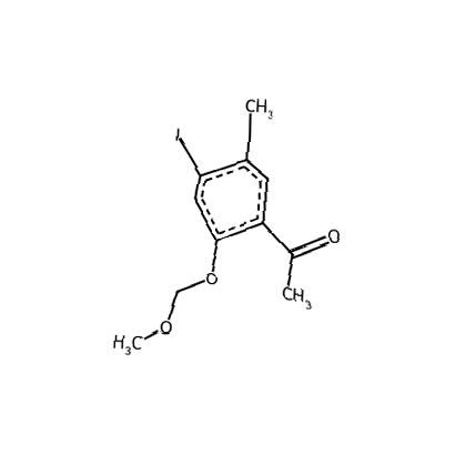 COCOc1cc(I)c(C)cc1C(C)=O